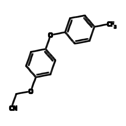 N#CCOc1ccc(Oc2ccc(C(F)(F)F)cc2)cc1